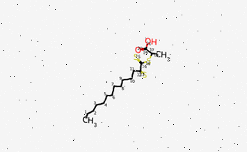 CCCCCCCCCCCCC(=S)C(=S)SC(C)C(=O)O